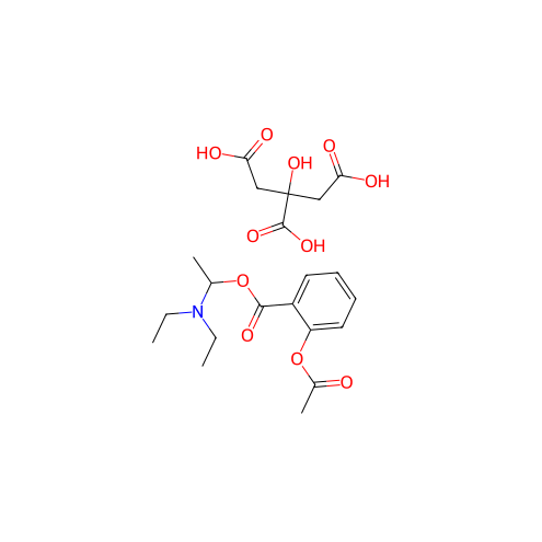 CCN(CC)C(C)OC(=O)c1ccccc1OC(C)=O.O=C(O)CC(O)(CC(=O)O)C(=O)O